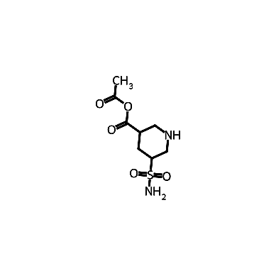 CC(=O)OC(=O)C1CNCC(S(N)(=O)=O)C1